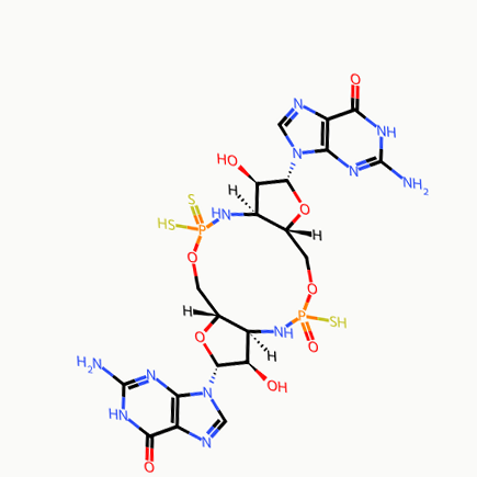 Nc1nc2c(ncn2[C@@H]2O[C@@H]3COP(=S)(S)N[C@H]4[C@@H](O)[C@H](n5cnc6c(=O)[nH]c(N)nc65)O[C@@H]4COP(=O)(S)N[C@H]3[C@H]2O)c(=O)[nH]1